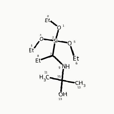 CCO[Si](OCC)(OCC)C(CC)NC(C)(C)O